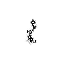 CCc1cc2cc(CCNCCCN(C)Cc3ccccc3)ccc2[nH]c1=O